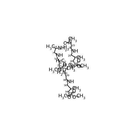 CO[Si](CCCNCC(C)N)(OC)OC.CO[Si](CCCNCCN(C)C)(OC)OC.CO[Si](CCCNCCN)(OC)OC